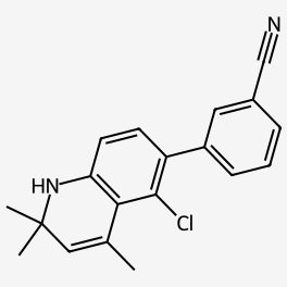 CC1=CC(C)(C)Nc2ccc(-c3cccc(C#N)c3)c(Cl)c21